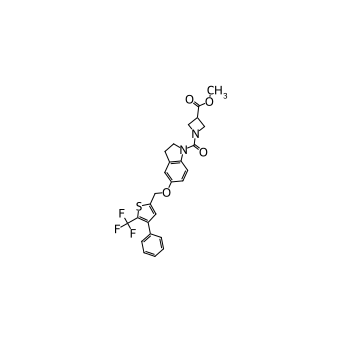 COC(=O)C1CN(C(=O)N2CCc3cc(OCc4cc(-c5ccccc5)c(C(F)(F)F)s4)ccc32)C1